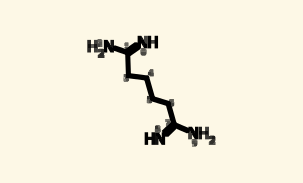 N=C(N)CCCCC(=N)N